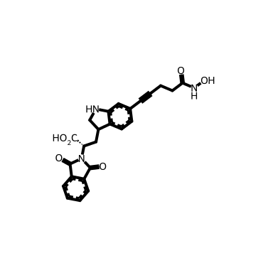 O=C(CCC#Cc1ccc2c(c1)NCC2C[C@@H](C(=O)O)N1C(=O)c2ccccc2C1=O)NO